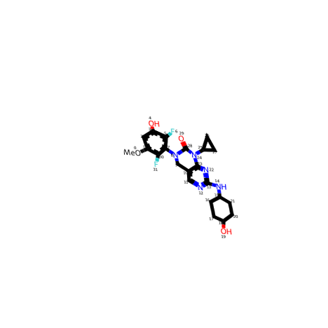 COc1cc(O)c(F)c(N2Cc3cnc(NC4CCC(O)CC4)nc3N(C3CC3)C2=O)c1F